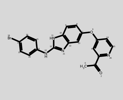 CC(=O)c1cc(Oc2ccc3[nH]c(Nc4ccc(Br)cc4)nc3c2)ccn1